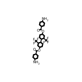 Nc1ccc(C(=O)Oc2ccc(-c3ccc(OC(=O)c4ccc(N)cc4)cc3C(F)(F)F)c(C(F)(F)F)c2)cc1